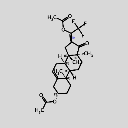 CC(=O)O/C(=C1\C[C@@]2(C)[C@@H]3CC=C4C[C@@H](OC(C)=O)CC[C@]4(C)[C@H]3CC[C@]2(C)C1=O)C(F)(F)F